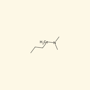 CC[CH2][GeH2][N](C)C